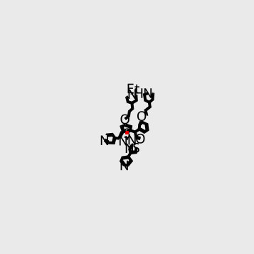 CCN1CCC(CCCOc2cccc(C(C(=O)N(c3nc(-c4ccncc4)cs3)c3nc(-c4ccncc4)cs3)c3cccc(OCCCC4CCNCC4)c3)c2)CC1